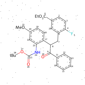 CCOC(=O)c1ccc(F)c(CC(C(=O)c2ccccc2)c2ccc(OC)cc2NC(=O)OC(C)(C)C)c1